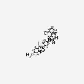 Cc1ccc(NC(=O)c2ccc(-n3nc(-c4c(F)cccc4Cl)[nH]c3=O)cc2)c(F)c1